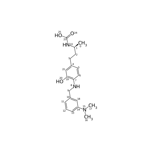 C[C@@H](CCc1ccc(NCc2cccc(N(C)C)c2)c(O)c1)NC(=O)O